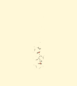 CCCCCCCCCCCCCCCN1C=CN(C(C)C)C1(Cc1ccccc1)C(CC)c1ccccc1